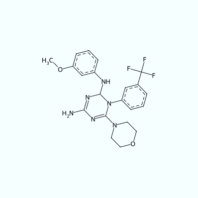 COc1cccc(NC2N=C(N)N=C(N3CCOCC3)N2c2cccc(C(F)(F)F)c2)c1